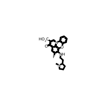 CN1CCCC1CCNc1c(F)cc2c(=O)c(C(=O)O)cn3c2c1Oc1ccccc1-3